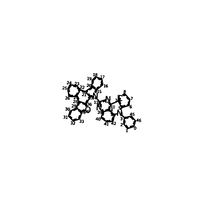 c1ccc(N2c3ccccc3-c3nc(-n4c5ccccc5c5c6ccccc6c6c7ccccc7oc6c54)nc4cccc2c34)cc1